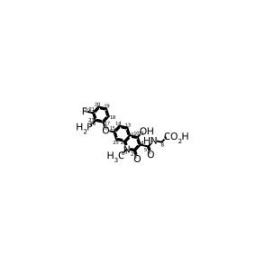 Cn1c(=O)c(C(=O)NCC(=O)O)c(O)c2ccc(Oc3cccc(F)c3P)cc21